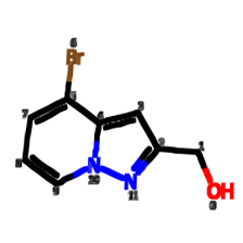 OCc1cc2c(Br)cccn2n1